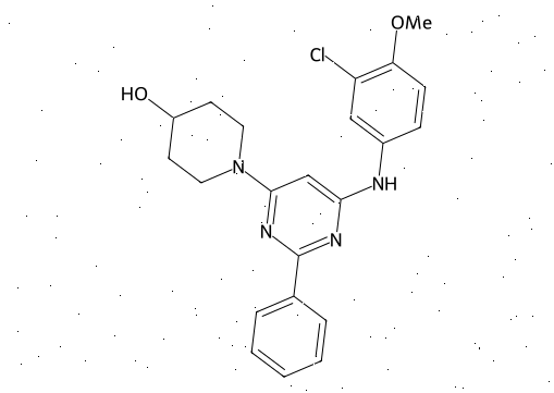 COc1ccc(Nc2cc(N3CCC(O)CC3)nc(-c3ccccc3)n2)cc1Cl